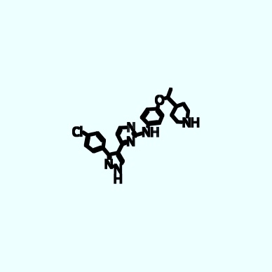 CC(Oc1ccc(Nc2nccc(-c3c[nH]nc3-c3ccc(Cl)cc3)n2)cc1)C1CCNCC1